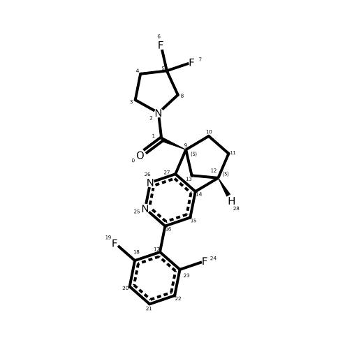 O=C(N1CCC(F)(F)C1)[C@@]12CC[C@@H](C1)c1cc(-c3c(F)cccc3F)nnc12